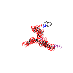 O=P([O][Mo](=[O])(=[O])[O][Mo](=[O])(=[O])[O][Mo](=[O])(=[O])[O][Mo](=[O])(=[O])[OH])([O][Mo](=[O])(=[O])[O][Mo](=[O])(=[O])[O][Mo](=[O])(=[O])[O][Mo](=[O])(=[O])[OH])[O][Mo](=[O])(=[O])[O][Mo](=[O])(=[O])[O][Mo](=[O])(=[O])[O][Mo](=[O])(=[O])[O]P.c1ccc2ncccc2c1